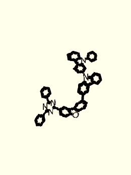 c1ccc(-c2nc(-c3ccccc3)nc(-c3ccc4oc5ccc(-c6ccc7c(c6)c6ccccc6n7-c6ccc7c8ccccc8n(-c8ccccc8)c7c6)cc5c4c3)n2)cc1